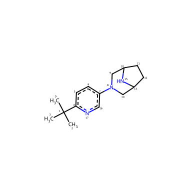 CC(C)(C)c1ccc(N2CC3CCC(C2)N3)cn1